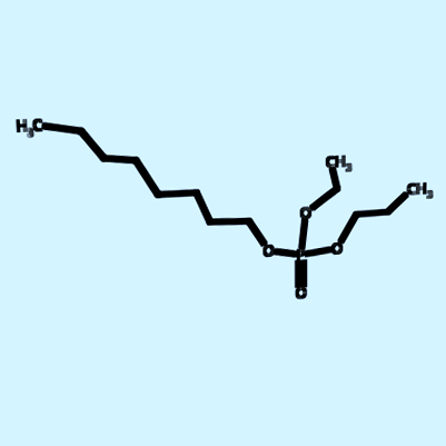 CCCCCCCCOP(=O)(OCC)OCCC